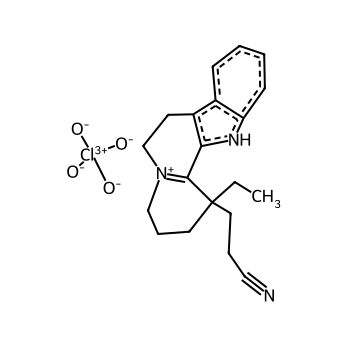 CCC1(CCC#N)CCC[N+]2=C1c1[nH]c3ccccc3c1CC2.[O-][Cl+3]([O-])([O-])[O-]